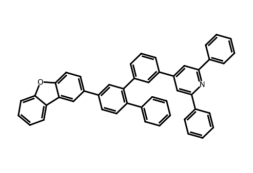 c1ccc(-c2cc(-c3cccc(-c4cc(-c5ccc6oc7ccccc7c6c5)ccc4-c4ccccc4)c3)cc(-c3ccccc3)n2)cc1